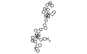 CC1C=CC=C(c2nc(-c3cc4cc(-c5cccc6cc(-c7ccc(-c8nc(-c9ccc%10ccccc%10c9)nc(-c9cccc%10oc%11c(-c%12cccc%13oc%14ccccc%14c%12%13)cccc%11c9%10)n8)cc7)ccc56)ccc4c4ccccc34)nc(-c3cccc4oc5cc(-c6cc7sc8ccccc8c7c7ccccc67)ccc5c34)n2)C1